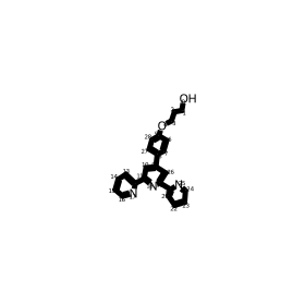 OCCCOc1ccc(-c2cc(-c3ccccn3)nc(-c3ccccn3)c2)cc1